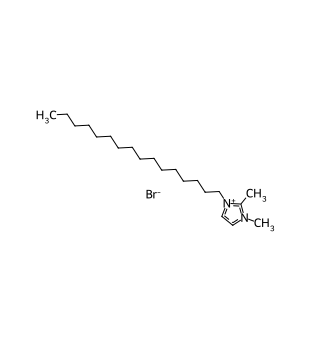 CCCCCCCCCCCCCCCC[n+]1ccn(C)c1C.[Br-]